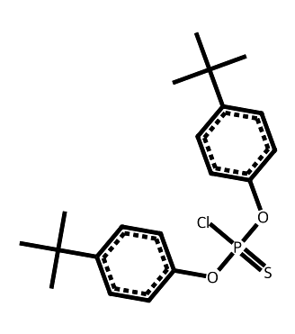 CC(C)(C)c1ccc(OP(=S)(Cl)Oc2ccc(C(C)(C)C)cc2)cc1